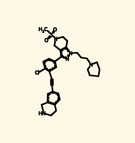 CS(=O)(=O)N1CCc2c(c(-c3ccc(Cl)c(C#Cc4ccc5c(c4)CNCC5)c3)nn2CCCN2CCCCC2)C1